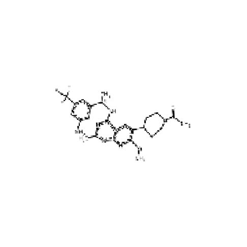 COc1nc2nc(C)nc(N[C@H](C)c3cc(N)cc(C(F)(F)F)c3)c2cc1C1CCN(C(C)=O)CC1